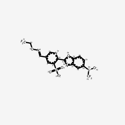 CCS(=O)(=O)c1cc([C]=NOCC(F)(F)F)cnc1-c1nc2cc([S+]([O-])C(F)(F)F)ccc2o1